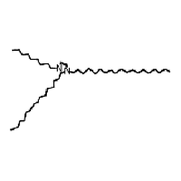 CCCCCCCCCCCCCCCCCCCN1C=CN(CCCCCCCCC)C1CCCCCCCCCCCCCC